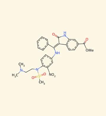 COC(=O)c1ccc2c(c1)NC(=O)C2=C(Nc1ccc(N(CCN(C)C)S(C)(=O)=O)c([N+](=O)[O-])c1)c1ccccc1